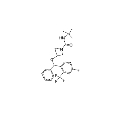 CC(C)(C)NC(=O)N1CC(OC(c2ccccc2)c2ccc(F)cc2C(F)(F)F)C1